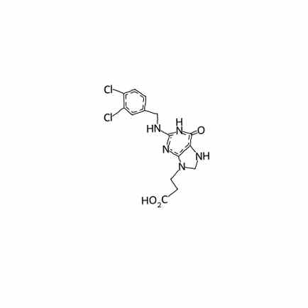 O=C(O)CCN1CNc2c1nc(NCc1ccc(Cl)c(Cl)c1)[nH]c2=O